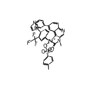 Cc1ccc(S(=O)(=O)O[N+]2(c3ccc(-n4ccnc4)c(C(F)(F)F)c3)C(=O)N(C)c3cnc4ccc(-c5cccnc5)cc4c32)cc1